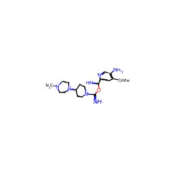 COc1cc(C(=N)OC(=N)N2CCC(N3CCN(C)CC3)CC2)ncc1N